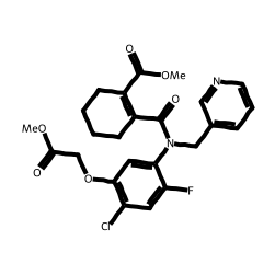 COC(=O)COc1cc(N(Cc2cccnc2)C(=O)C2=C(C(=O)OC)CCCC2)c(F)cc1Cl